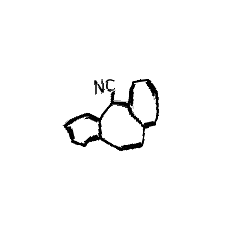 N#CC1c2ccccc2C=Cc2ccccc21